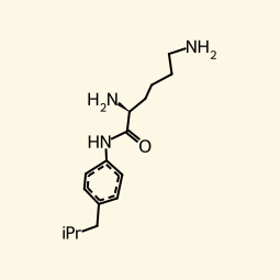 CC(C)Cc1ccc(NC(=O)[C@@H](N)CCCCN)cc1